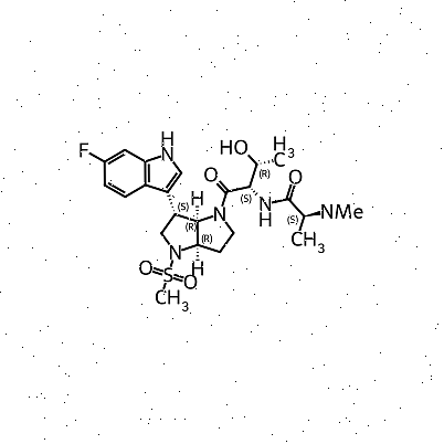 CN[C@@H](C)C(=O)N[C@H](C(=O)N1CC[C@@H]2[C@H]1[C@@H](c1c[nH]c3cc(F)ccc13)CN2S(C)(=O)=O)[C@@H](C)O